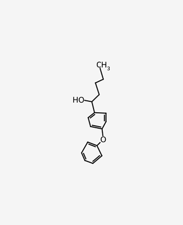 CCCCC(O)c1ccc(Oc2ccccc2)cc1